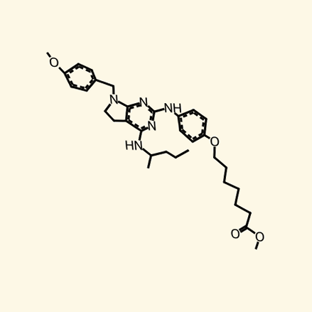 CCCC(C)Nc1nc(Nc2ccc(OCCCCCCC(=O)OC)cc2)nc2c1CCN2Cc1ccc(OC)cc1